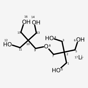 OCC(CO)(CO)COCC(CO)(CO)CO.[Li]